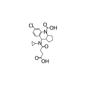 O=C(O)CCC(=O)N(C1CC1)C1c2ccc(Cl)cc2N(C(=O)O)C2CCCC21